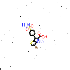 NS(=O)(=O)c1ccc(-c2c(C(=O)O)[nH]c3c(Br)csc23)cc1